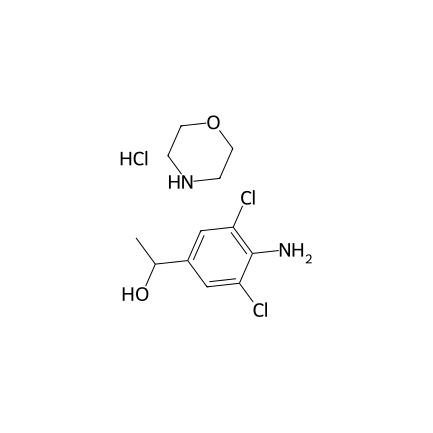 C1COCCN1.CC(O)c1cc(Cl)c(N)c(Cl)c1.Cl